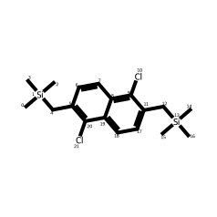 C[Si](C)(C)Cc1ccc2c(Cl)c(C[Si](C)(C)C)ccc2c1Cl